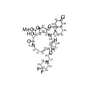 COC(=O)[C@@]1(O)CC(=O)N(C)CC/C=C/[C@H](OCCN2CCC(F)(F)CC2)[C@@H]2CC[C@H]2CN2C[C@@]3(CCCc4cc(Cl)ccc43)COc3ccc1cc32